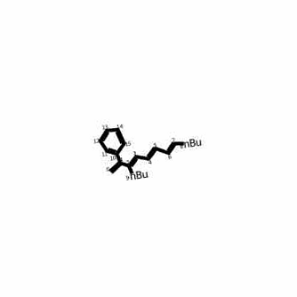 C=C(C(=CC=CC=CCCCC)CCCC)c1ccccc1